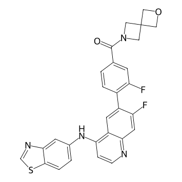 O=C(c1ccc(-c2cc3c(Nc4ccc5scnc5c4)ccnc3cc2F)c(F)c1)N1CC2(COC2)C1